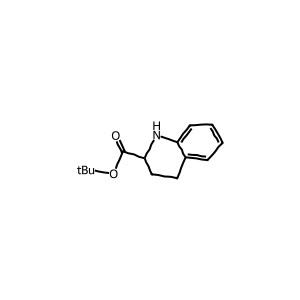 CC(C)(C)OC(=O)C1CCc2ccccc2N1